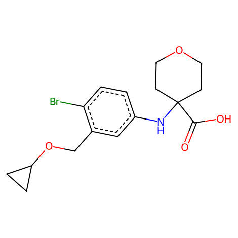 O=C(O)C1(Nc2ccc(Br)c(COC3CC3)c2)CCOCC1